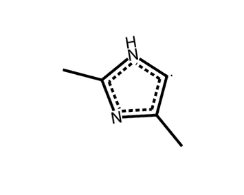 Cc1[c][nH]c(C)n1